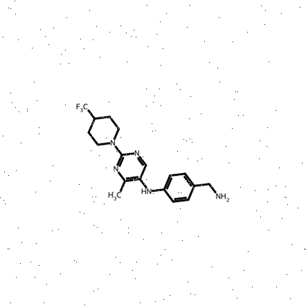 Cc1nc(N2CCC(C(F)(F)F)CC2)ncc1Nc1ccc(CN)cc1